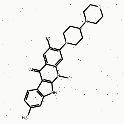 CCc1cc2c(=O)c3c4ccc(C)cc4[nH]c3n(C(C)C)c2cc1N1CCC(N2CCOCC2)CC1